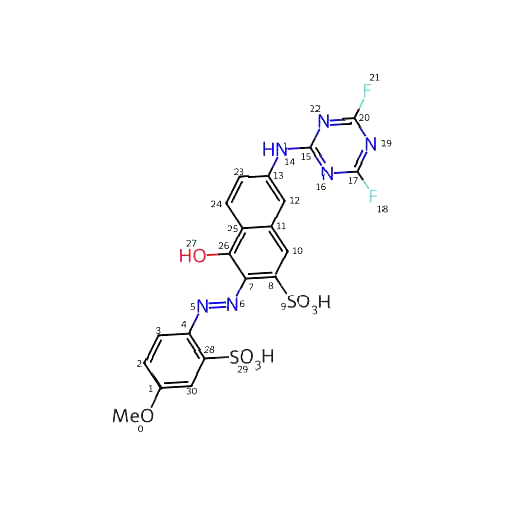 COc1ccc(N=Nc2c(S(=O)(=O)O)cc3cc(Nc4nc(F)nc(F)n4)ccc3c2O)c(S(=O)(=O)O)c1